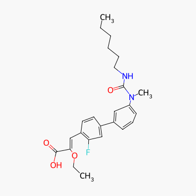 CCCCCCNC(=O)N(C)c1cccc(-c2ccc(/C=C(\OCC)C(=O)O)c(F)c2)c1